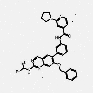 CCC(CC)Nc1ncc2cc(-c3cccc(NC(=O)c4ccnc(N5CCCC5)c4)c3)c(OCc3ccccc3)cc2n1